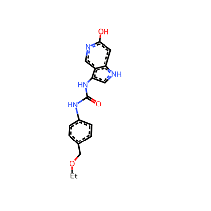 CCOCc1ccc(NC(=O)Nc2c[nH]c3cc(O)ncc23)cc1